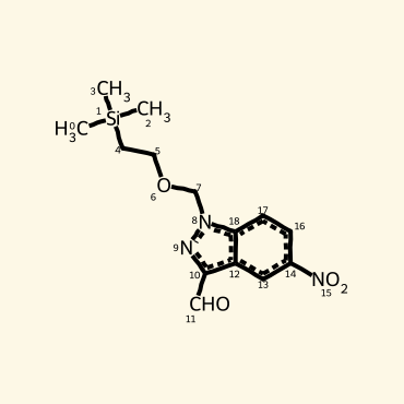 C[Si](C)(C)CCOCn1nc(C=O)c2cc([N+](=O)[O-])ccc21